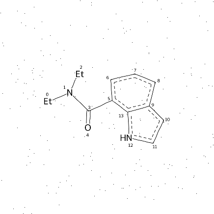 CCN(CC)C(=O)c1cccc2[c]c[nH]c12